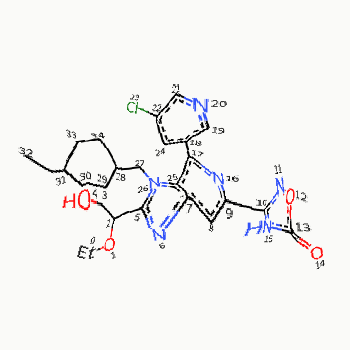 CCOC(CO)c1nc2cc(-c3noc(=O)[nH]3)nc(-c3cncc(Cl)c3)c2n1CC1CCC(C)CC1